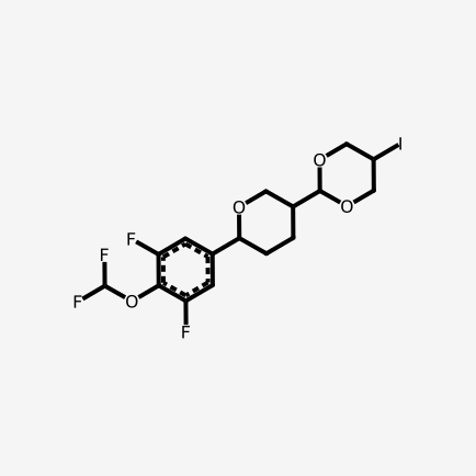 Fc1cc(C2CCC(C3OCC(I)CO3)CO2)cc(F)c1OC(F)F